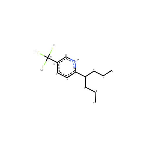 CCCC(CCC)c1ccc(C(F)(F)F)cn1